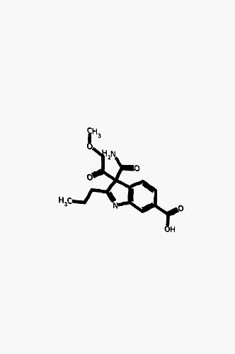 CCCC1=Nc2cc(C(=O)O)ccc2C1(C(N)=O)C(=O)COC